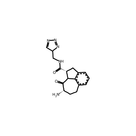 N[C@H]1CCc2cccc3c2C(C1=O)[C@H](C(=O)NCC1C=NN=N1)C3